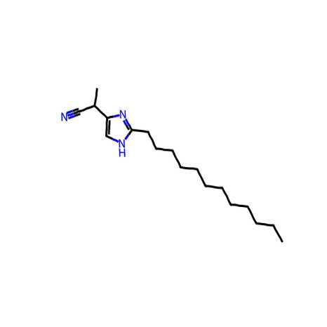 CCCCCCCCCCCCc1nc(C(C)C#N)c[nH]1